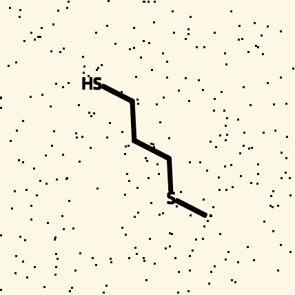 [CH2]SCCCS